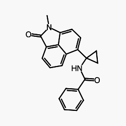 CN1C(=O)c2cccc3c(C4(NC(=O)c5ccccc5)CC4)ccc1c23